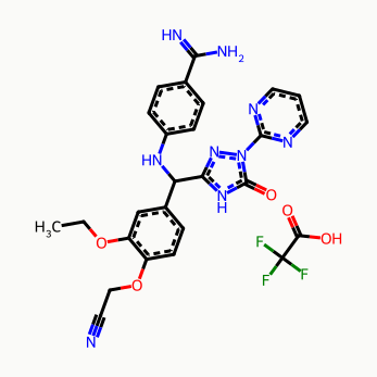 CCOc1cc(C(Nc2ccc(C(=N)N)cc2)c2nn(-c3ncccn3)c(=O)[nH]2)ccc1OCC#N.O=C(O)C(F)(F)F